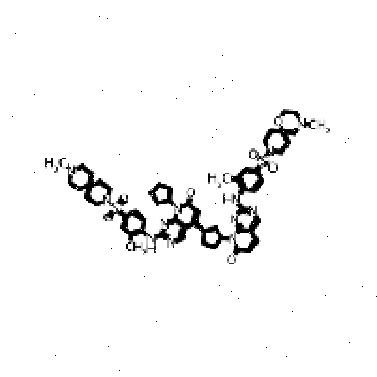 Cc1cc(S(=O)(=O)N2CCC3(CC2)CN(C)CCO3)ccc1Nc1ncc2ccc(=O)n(C3CCC(c4cc(=O)n(C5CCCC5)c5nc(Nc6ccc(S(=O)(=O)N7CCC8(CCN(C)CC8)CC7)cc6C)ncc45)C3)c2n1